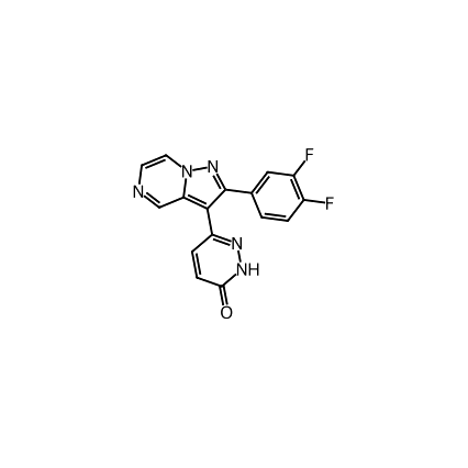 O=c1ccc(-c2c(-c3ccc(F)c(F)c3)nn3ccncc23)n[nH]1